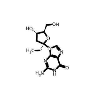 CC[C@]1(n2cnc3c(=O)[nH]c(N)nc32)C[C@H](O)[C@@H](CO)O1